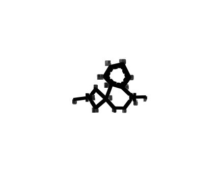 CN1CC2(CCN(C)c3ccccc32)C1